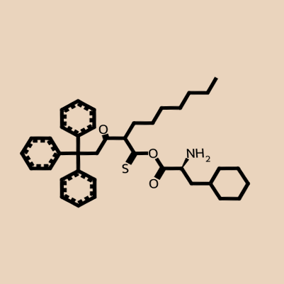 CCCCCCCC(C(=O)CC(c1ccccc1)(c1ccccc1)c1ccccc1)C(=S)OC(=O)[C@@H](N)CC1CCCCC1